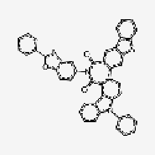 O=c1c2cc3c(cc2c2ccc4c(c5ccccc5n4-c4ccccc4)c2c(=O)n1-c1ccc2oc(-c4ccccc4)nc2c1)sc1ccccc13